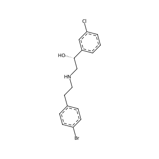 O[C@@H](CNCCc1ccc(Br)cc1)c1cccc(Cl)c1